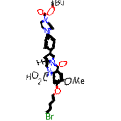 COc1cc2c(cc1OCCCCCBr)N(C(=O)O)C[C@@H]1CC(c3ccc(N4CCN(C(=O)OC(C)(C)C)CC4)cc3)=CN1C2=O